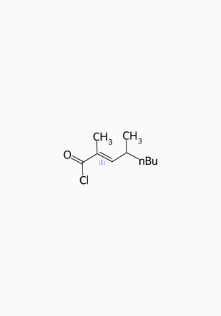 CCCCC(C)/C=C(\C)C(=O)Cl